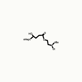 CCCCCCCC(O)CCC(=O)OCCN(CC)CCCC